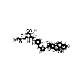 C[C@]12C=CC(=O)C=C1CC[C@@H]1[C@@H]2[C@@H](O)C[C@@]2(C)[C@H]1C[C@H]1O[C@@H](c3cc(F)c(Cc4cccc(NC(=O)[C@H](CCC(=O)O)NC(=O)CNC(=O)CBr)c4)s3)O[C@]12C(=O)CO